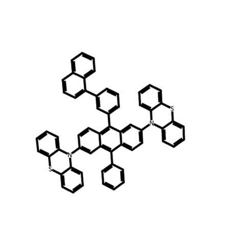 c1ccc(-c2c3ccc(N4c5ccccc5Sc5ccccc54)cc3c(-c3cccc(-c4cccc5ccccc45)c3)c3ccc(N4c5ccccc5Sc5ccccc54)cc23)cc1